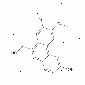 COc1cc2c(CO)cc3ccc(O)cc3c2cc1OC